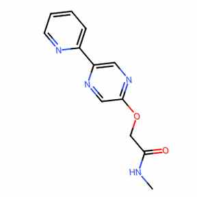 CNC(=O)COc1cnc(-c2ccccn2)cn1